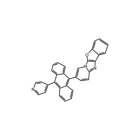 c1ccc2c(c1)oc1c2nc2ccc(-c3c4ccccc4c(-c4ccncc4)c4ccccc34)cn21